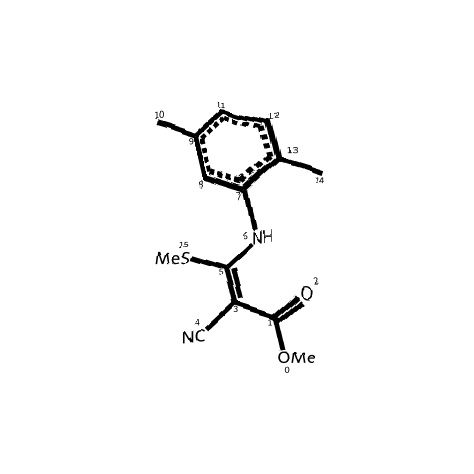 COC(=O)C(C#N)=C(Nc1cc(C)ccc1C)SC